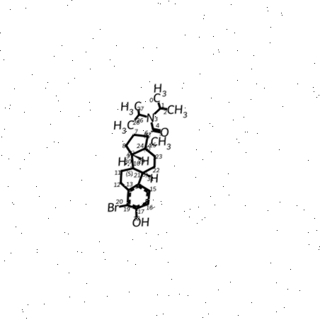 CC(C)N(C(=O)[C@H]1CC[C@H]2[C@@H]3CCc4c(ccc(O)c4Br)[C@H]3CC[C@]12C)C(C)C